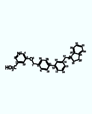 O=C(O)c1cncc(OCc2ccc(-c3cccc(CN4CCc5ccccc54)c3)cc2)c1